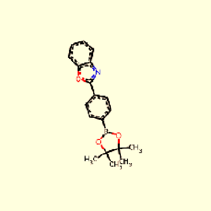 CC1(C)OB(c2ccc(-c3nc4ccccc4o3)cc2)OC1(C)C